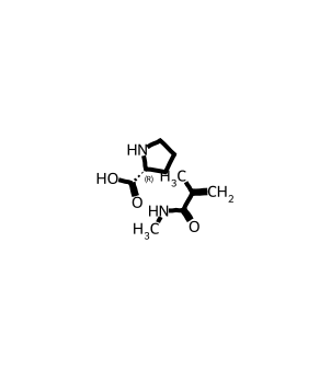 C=C(C)C(=O)NC.O=C(O)[C@H]1CCCN1